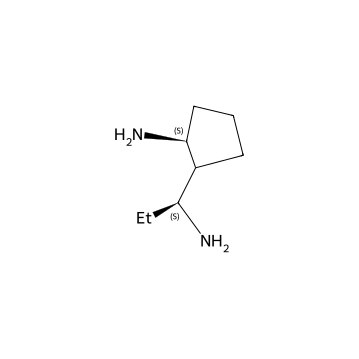 CC[C@H](N)C1CCC[C@@H]1N